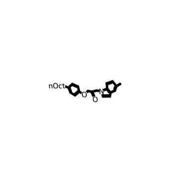 CCCCCCCCc1ccc(OCC(=O)Cn2ccc3cc(C)ccc32)cc1